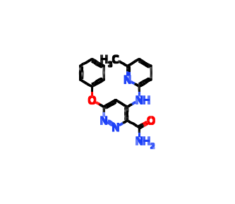 Cc1cccc(Nc2cc(Oc3ccccc3)nnc2C(N)=O)n1